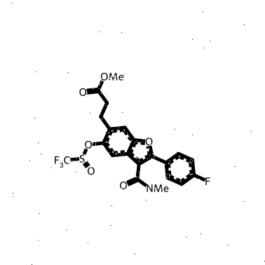 CNC(=O)c1c(-c2ccc(F)cc2)oc2cc(CCC(=O)OC)c(OS(=O)C(F)(F)F)cc12